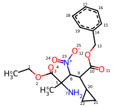 CCOC(=O)C(C)(N)C(C(C(=O)OCc1ccccc1)C1CC1)[N+](=O)[O-]